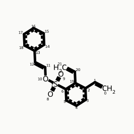 C=Cc1cccc(S(=O)(=O)OC=Cc2ccccc2)c1C=C